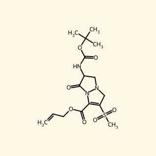 C=CCOC(=O)C1=C(S(C)(=O)=O)CN2CC(NC(=O)OC(C)(C)C)C(=O)N12